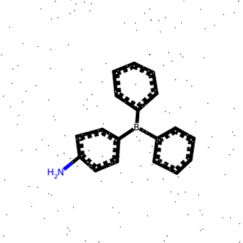 Nc1ccc(B(c2ccccc2)c2ccccc2)cc1